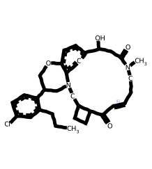 CCCc1cc(Cl)ccc1C1COc2ccc3cc2N(C1)CC1CCC1C(=O)/C=C/CCN(C)C(=O)CC3O